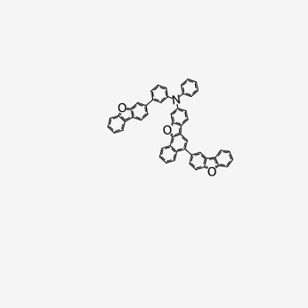 c1ccc(N(c2cccc(-c3ccc4c(c3)oc3ccccc34)c2)c2ccc3c(c2)oc2c4ccccc4c(-c4ccc5oc6ccccc6c5c4)cc32)cc1